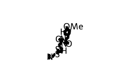 COc1ccc(C=c2[nH]c(=O)c(=Cc3ccc(SCCN(C)C)s3)[nH]c2=O)cc1